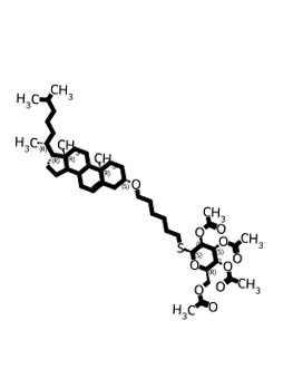 CC(=O)OC[C@H]1O[C@@H](SCCCCCCO[C@H]2CC[C@@]3(C)C(=CCC4C3CC[C@@]3(C)C4CC[C@@H]3[C@H](C)CCCC(C)C)C2)[C@@H](OC(C)=O)[C@@H](OC(C)=O)[C@@H]1OC(C)=O